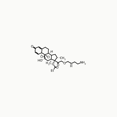 CCC(=O)O[C@]1(C(=O)COCNCCN)[C@@H](C)CC2[C@@H]3CCC4=CC(=O)C=C[C@]4(C)[C@@]3(Cl)[C@@H](O)C[C@@]21C